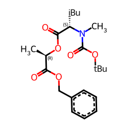 CCC(C)[C@@H](C(=O)O[C@H](C)C(=O)OCc1ccccc1)N(C)C(=O)OC(C)(C)C